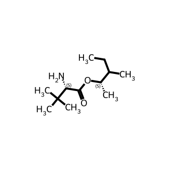 CCC(C)[C@H](C)OC(=O)[C@@H](N)C(C)(C)C